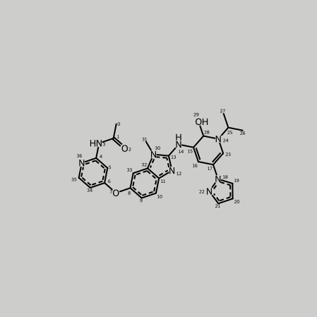 CC(=O)Nc1cc(Oc2ccc3nc(NC4=CC(n5cccn5)=CN(C(C)C)C4O)n(C)c3c2)ccn1